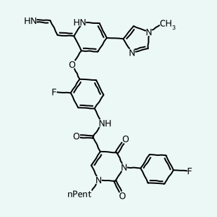 CCCCCn1cc(C(=O)Nc2ccc(OC3=CC(c4cn(C)cn4)=CN/C3=C\C=N)c(F)c2)c(=O)n(-c2ccc(F)cc2)c1=O